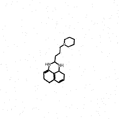 C1=CC2=C3C(=CCC2)NC(CCCN2CCCCC2)NC3C1